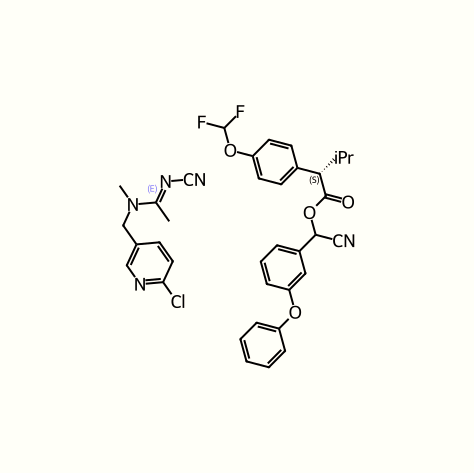 C/C(=N\C#N)N(C)Cc1ccc(Cl)nc1.CC(C)[C@H](C(=O)OC(C#N)c1cccc(Oc2ccccc2)c1)c1ccc(OC(F)F)cc1